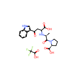 C[C@H](NC(CC(=O)c1c[nH]c2ccccc12)C(=O)O)C(=O)N1CCC[C@H]1C(=O)O.O=C(O)C(F)(F)F